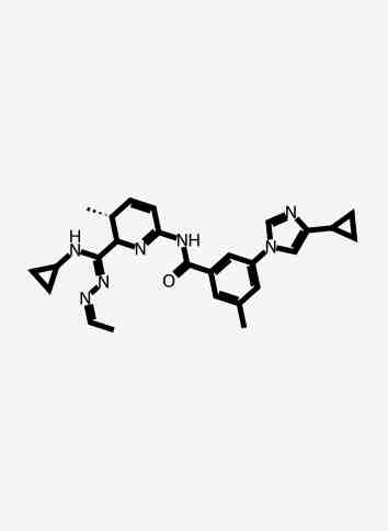 C/C=N\N=C(/NC1CC1)C1N=C(NC(=O)c2cc(C)cc(-n3cnc(C4CC4)c3)c2)C=C[C@H]1C